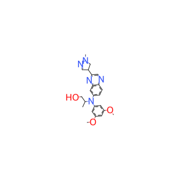 COc1cc(OC)cc(N(c2ccc3ncc(C4C=NN(C)C4)nc3c2)C(C)CO)c1